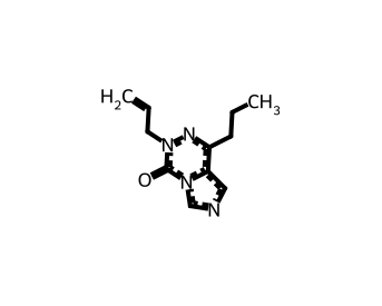 C=CCn1nc(CCC)c2cncn2c1=O